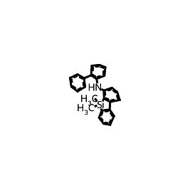 C[Si]1(C)c2ccccc2-c2cccc(Nc3ccccc3-c3ccccc3)c21